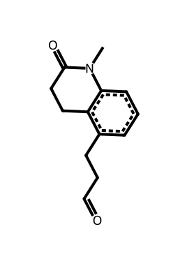 CN1C(=O)CCc2c(CCC=O)cccc21